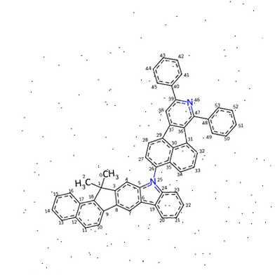 CC1(C)c2cc3c(cc2-c2ccc4ccccc4c21)c1ccccc1n3-c1ccc2c3c(cccc13)-c1c-2cc(-c2ccccc2)nc1-c1ccccc1